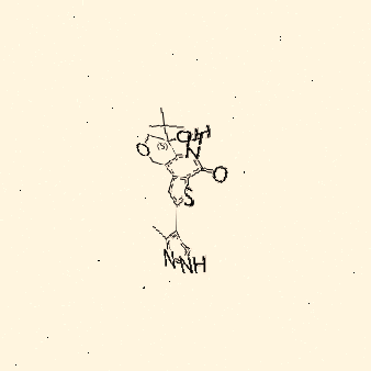 Cc1n[nH]cc1-c1cc2c3c([nH]c(=O)c2s1)[C@@](O)(C(C)(C)C)COC3